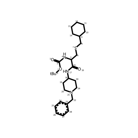 CC(C)(C)OC(=O)NC(CSCC1CCCCC1)C(=O)NC1CCN(Cc2ccccc2)CC1